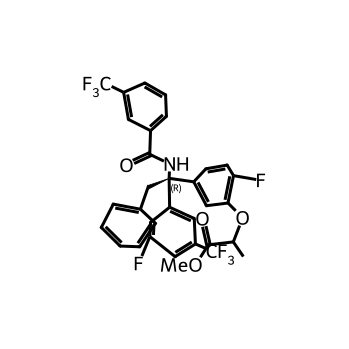 COC(=O)C(C)Oc1cc([C@@](Cc2ccccc2)(NC(=O)c2cccc(C(F)(F)F)c2)c2cc(F)cc(C(F)(F)F)c2)ccc1F